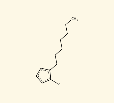 CCCCCCCp1cccc1[P]